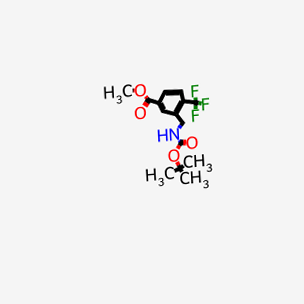 COC(=O)c1ccc(C(F)(F)F)c(CNC(=O)OC(C)(C)C)c1